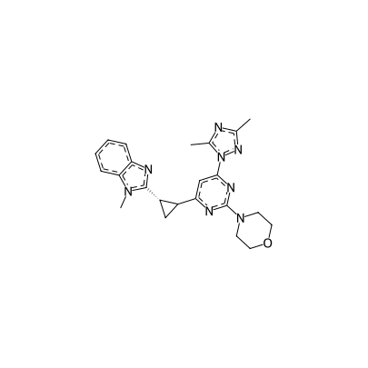 Cc1nc(C)n(-c2cc(C3C[C@@H]3c3nc4ccccc4n3C)nc(N3CCOCC3)n2)n1